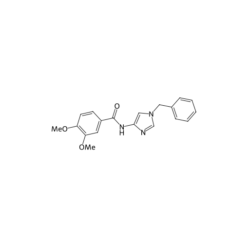 COc1ccc(C(=O)Nc2cn(Cc3ccccc3)cn2)cc1OC